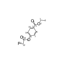 CCOC(=O)c1ccc(OC(=O)CF)cc1